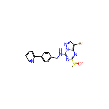 C[S+]([O-])c1nc(NCc2ccc(-c3ccccn3)cc2)n2ncc(Br)c2n1